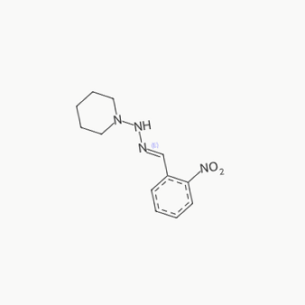 O=[N+]([O-])c1ccccc1/C=N/NN1CCCCC1